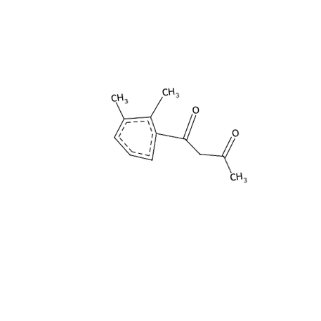 CC(=O)CC(=O)c1cccc(C)c1C